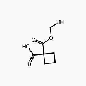 O=C(O)C1(C(=O)OCO)CCC1